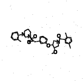 COC1CN(C(=O)c2cc(C)ccc2C)CC1Oc1cccc(CS(=O)(=O)N2CCCN(c3ccccc3C)C2)c1